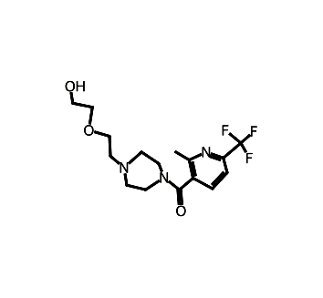 Cc1nc(C(F)(F)F)ccc1C(=O)N1CCN(CCOCCO)CC1